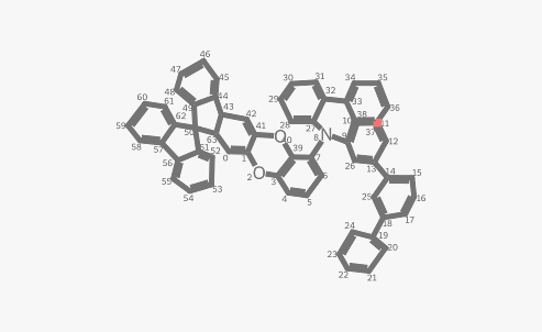 C1=C2Oc3cccc(N(c4cccc(-c5cccc(-c6ccccc6)c5)c4)c4ccccc4-c4ccccc4)c3OC2=CC2c3ccccc3C3(c4ccccc4-c4ccccc43)C12